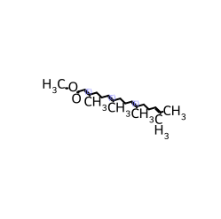 CCOC(=O)/C=C(\C)CC/C=C(\C)CC/C=C(\C)CCC=C(C)C